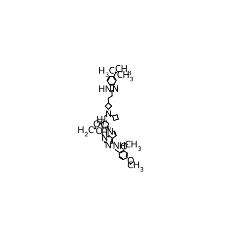 C=C1O[C@@H]2[C@@H](CN(C3CCC3)C3CC(CCc4nc5cc(C(C)(C)C)ccc5[nH]4)C3)C[C@@H](n3ccc4c(NCc5ccc(OC)cc5OC)ncnc43)[C@@H]2O1